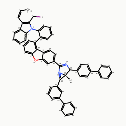 C/C=C\c1c(CI)n(-c2ccccc2-c2cccc3oc4cc(C5=NC(c6ccc(-c7ccccc7)cc6)[C@@H]6C(c7cccc(-c8ccccc8)c7)=[N+]56)ccc4c23)c2ccccc12